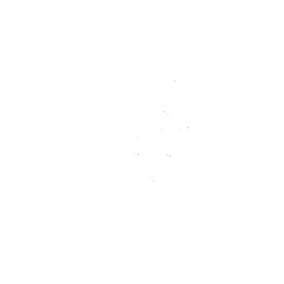 COC(=O)C1CN2C(=N1)N(C)C(=O)c1c2nc(C)n1Cc1ccccc1